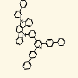 c1ccc(-c2ccc(-c3cc(-c4cccc(-n5c6ccccc6c6ccc7c(c8ccccc8n7-c7cccc(-c8ccccc8)c7)c65)c4)cc(-c4ccc(-c5ccccc5)cc4)n3)cc2)cc1